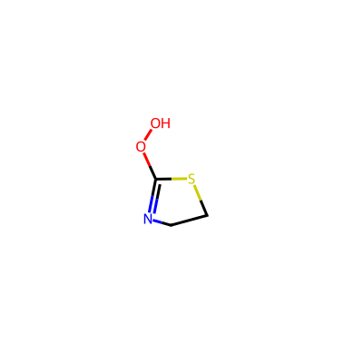 OOC1=NCCS1